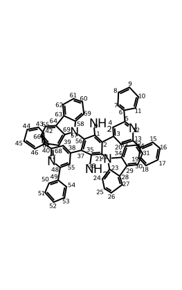 Nc1c(-c2cc(-c3ccccc3)nc(-c3ccccc3)c2)c(-n2c3ccccc3c3ccccc32)c(N)c(-c2cc(-c3ccccc3)nc(-c3ccccc3)c2)c1-n1c2ccccc2c2ccccc21